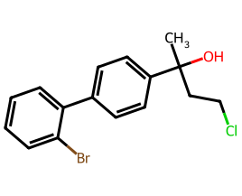 CC(O)(CCCl)c1ccc(-c2ccccc2Br)cc1